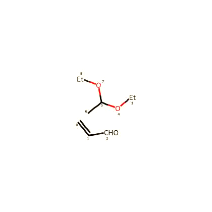 C=CC=O.CCOC(C)OCC